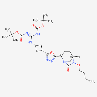 CCCCON1C(=O)N2C[C@@H]1CC[C@H]2c1nnc([C@H]2C[C@@H](N/C(=N\C(=O)OC(C)(C)C)NC(=O)OC(C)(C)C)C2)o1